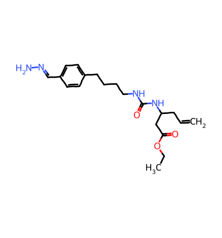 C=CCC(CC(=O)OCC)NC(=O)NCCCCc1ccc(C=NN)cc1